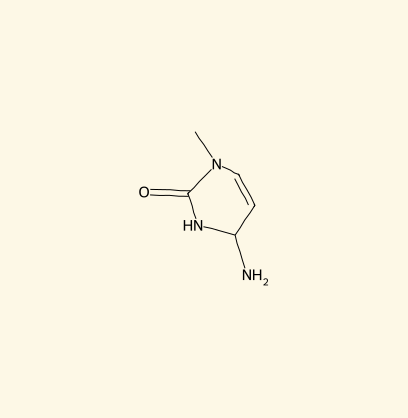 CN1C=CC(N)NC1=O